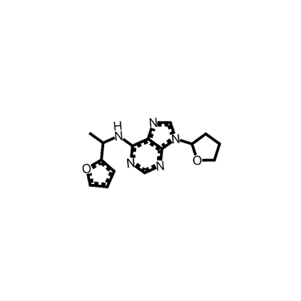 CC(Nc1ncnc2c1ncn2C1CCCO1)c1ccco1